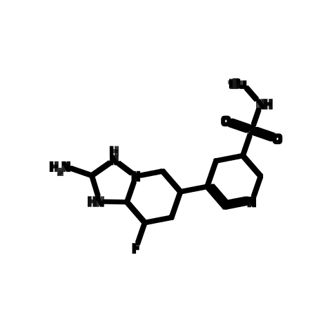 CC(C)(C)NS(=O)(=O)C1CN=C=C(C2CC(F)C3NC(N)NN3C2)C1